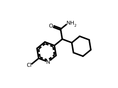 NC(=O)C(c1ccc(Cl)nc1)C1CCCCC1